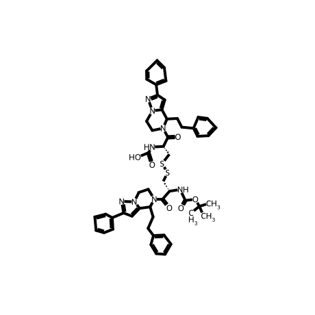 CC(C)(C)OC(=O)N[C@@H](CSSC[C@H](NC(=O)O)C(=O)N1CCn2nc(-c3ccccc3)cc2C1CCc1ccccc1)C(=O)N1CCn2nc(-c3ccccc3)cc2C1CCc1ccccc1